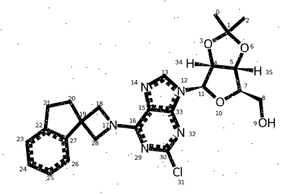 CC1(C)O[C@@H]2[C@H](O1)[C@@H](CO)O[C@H]2n1cnc2c(N3CC4(CCc5ccccc54)C3)nc(Cl)nc21